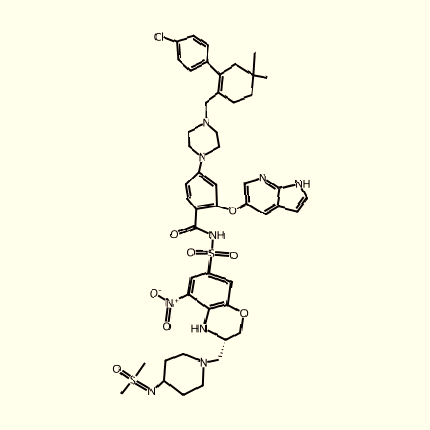 CC1(C)CCC(CN2CCN(c3ccc(C(=O)NS(=O)(=O)c4cc5c(c([N+](=O)[O-])c4)N[C@@H](CN4CCC(N=S(C)(C)=O)CC4)CO5)c(Oc4cnc5[nH]ccc5c4)c3)CC2)=C(c2ccc(Cl)cc2)C1